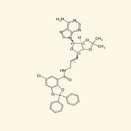 CC1(C)OC2[C@@H](/C=C/CNC(=O)c3cc(Cl)cc4c3OC(c3ccccc3)(c3ccccc3)O4)O[C@@H](n3cnc4c(N)ncnc43)[C@H]2O1